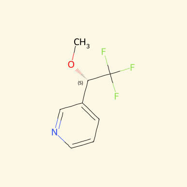 CO[C@@H](c1cccnc1)C(F)(F)F